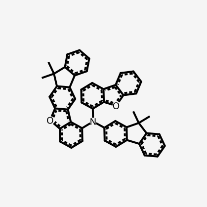 CC1(C)c2ccccc2-c2ccc(N(c3cccc4c3oc3ccccc34)c3cccc4oc5cc6c(cc5c34)-c3ccccc3C6(C)C)cc21